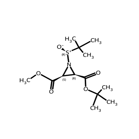 COC(=O)[C@@H]1[C@H](C(=O)OC(C)(C)C)N1[S@@+]([O-])C(C)(C)C